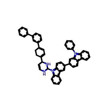 C1=CC(C2=CC=C(c3cccc(-c4ccccc4)c3)CC2)NC(n2c3ccccc3c3cc(-c4ccc5c6ccccc6n(-c6ccccc6)c5c4)ccc32)N1